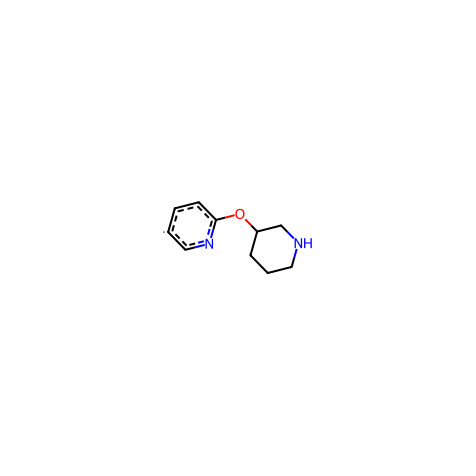 [c]1ccc(OC2CCCNC2)nc1